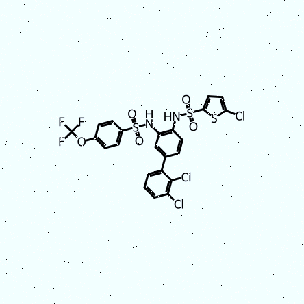 O=S(=O)(Nc1cc(-c2cccc(Cl)c2Cl)ccc1NS(=O)(=O)c1ccc(Cl)s1)c1ccc(OC(F)(F)F)cc1